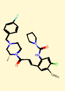 COc1cc(/C=C/C(=O)N2CCN(Cc3ccc(F)cc3)C[C@H]2C)c(NC(=O)N2CCCC2)cc1Cl